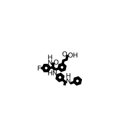 CC(NCc1ccccc1)c1ccc(NC(=C2C(=O)Nc3cc(F)ccc32)c2cccc(CCC(=O)O)c2)cc1